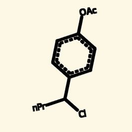 CCCC(Cl)c1ccc(OC(C)=O)cc1